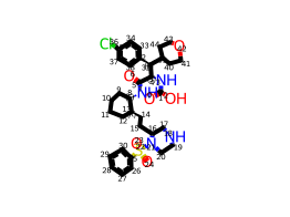 O=C(O)N[C@H](C(=O)N[C@H]1CCCC[C@@H]1CCC1CNCCN1S(=O)(=O)c1ccccc1)[C@@H](c1ccc(Cl)cc1)C1CCOCC1